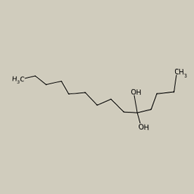 CCCCCCCCCC(O)(O)CCCC